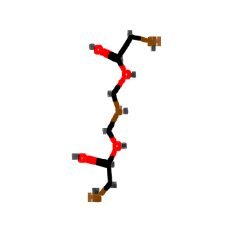 O=C(CS)OCSCOC(=O)CS